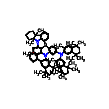 Cc1cc2c3c(c1)N1c4c(cccc4C4(C)CCCCC14C)B3c1ccc(N(c3cc4c(cc3C)C(C)(C)CCC4(C)C)c3cc4c(cc3C)C(C)(C)CCC4(C)C)cc1N2c1cc2c(cc1-c1ccccc1)C(C)(C)CCC2(C)C